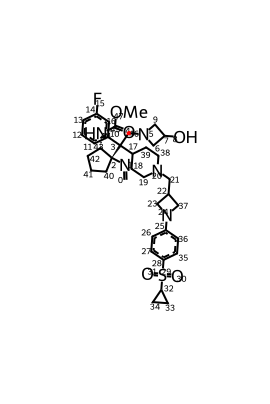 C=N[C@]1(C(CN2CC(O)C2)(c2cccc(F)c2)C2CCN(CC3CN(c4ccc(S(=O)(=O)C5CC5)cc4)C3)CC2)CCC[C@@H]1NC(=O)OC